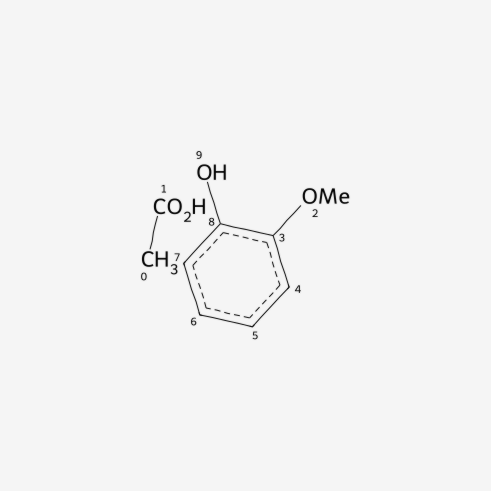 CC(=O)O.COc1ccccc1O